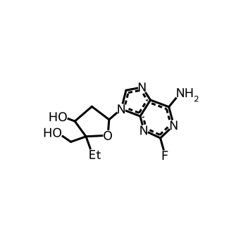 CCC1(CO)OC(n2cnc3c(N)nc(F)nc32)CC1O